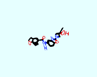 CC1(O)CN(c2nc3cc(NC(=O)c4ccc5c(c4)CCO5)ccc3o2)C1